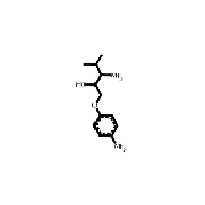 CC(C)C(N)C(O)COc1ccc(N)cc1